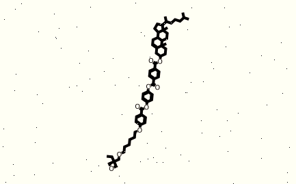 CCC1(COCCCCCCOc2ccc(C(=O)Oc3ccc(OC(=O)c4ccc(C(=O)OC5CCC6(C)C(=CCC7C6CCC6(C)C(C(C)CCCC(C)C)CCC76)C5)cc4)cc3)cc2)COC1